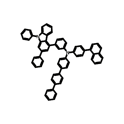 c1ccc(-c2ccc(-c3ccc(N(c4ccc(-c5cccc6ccccc56)cc4)c4cccc(-c5cc(-c6ccccc6)cc6c5c5ccccc5n6-c5ccccc5)c4)cc3)cc2)cc1